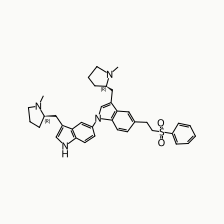 CN1CCC[C@@H]1Cc1c[nH]c2ccc(-n3cc(C[C@H]4CCCN4C)c4cc(CCS(=O)(=O)c5ccccc5)ccc43)cc12